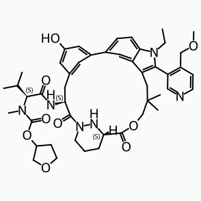 CCn1c(-c2cnccc2COC)c2c3cc(ccc31)-c1cc(O)cc(c1)C[C@H](NC(=O)[C@H](C(C)C)N(C)C(=O)OC1CCOC1)C(=O)N1CCC[C@H](N1)C(=O)OCC(C)(C)C2